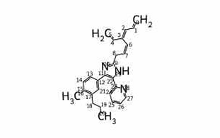 C=C/C=C(C=C)\C=C/Cc1nc(-c2ccc(C)c(CCC)c2)c(-c2ccccn2)[nH]1